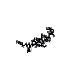 C/C=C(/N)C(/C=C(/N/C(=C/C=C(\C)OCC)CC)C(C)=N)=Nc1ccc(N(CCO)CCCCO)cc1